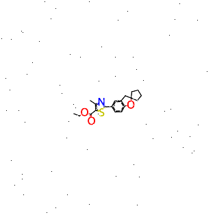 CCOC(=O)c1sc(-c2ccc3c(c2)CC2(CCCC2)O3)nc1C